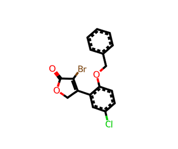 O=C1OCC(c2cc(Cl)ccc2OCc2ccccc2)=C1Br